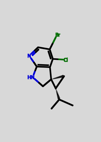 CC(C)[C@H]1C[C@@]12CNc1ncc(Br)c(Cl)c12